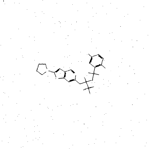 Cc1ccc(F)cc1C(C)(C)CC(O)(Cc1cc2[nH]c(N3CCCC3)cc2cn1)C(F)(F)F